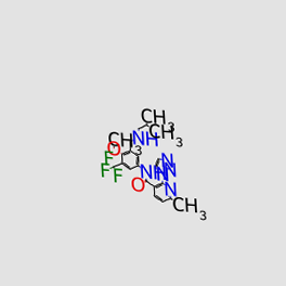 COc1c(CNCC(C)C)cc(NC(=O)c2ccc(C)nc2-n2ccnn2)cc1C(F)(F)F